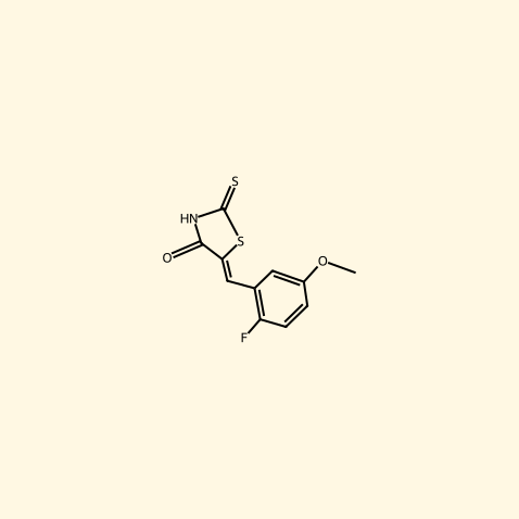 COc1ccc(F)c(/C=C2\SC(=S)NC2=O)c1